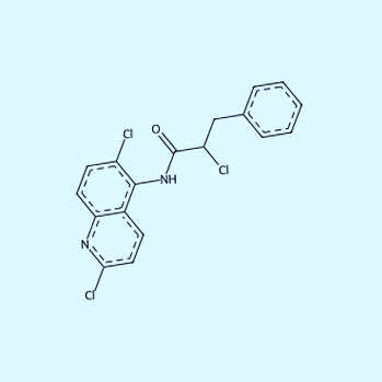 O=C(Nc1c(Cl)ccc2nc(Cl)ccc12)C(Cl)Cc1ccccc1